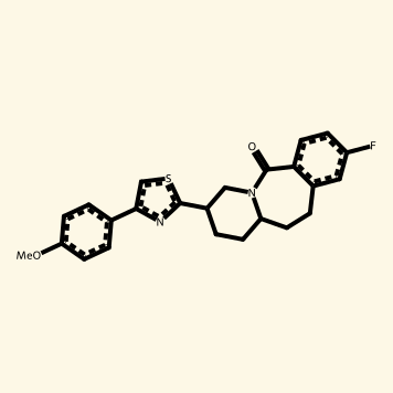 COc1ccc(-c2csc(C3CCC4CCc5cc(F)ccc5C(=O)N4C3)n2)cc1